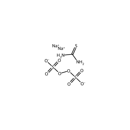 NC(N)=S.O=S(=O)([O-])OOS(=O)(=O)[O-].[Na+].[Na+]